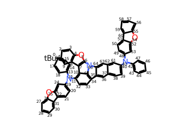 CC(C)(C)c1ccc2oc3c(c2c1)c1c(N(c2ccccc2)c2ccc4c(c2)oc2ccccc24)ccc2c4cc5ccc(N(c6ccccc6)c6ccc7c(c6)oc6ccccc67)cc5cc4n3c21